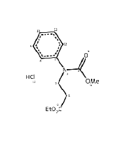 CCOC(=O)CCN(C(=O)OC)c1ccccc1.Cl